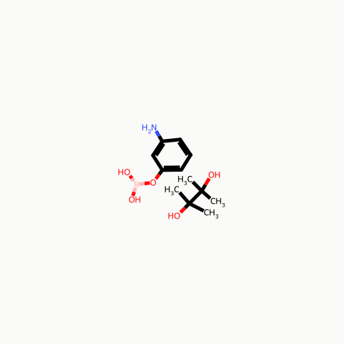 CC(C)(O)C(C)(C)O.Nc1cccc(OB(O)O)c1